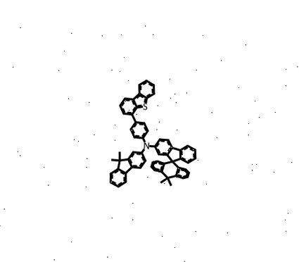 CC1(C)c2ccccc2-c2ccc(N(c3ccc(-c4cccc5c4sc4ccccc45)cc3)c3ccc4c(c3)C3(c5ccccc5-4)c4ccccc4C(C)(C)c4ccccc43)cc21